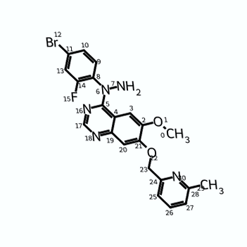 COc1cc2c(N(N)c3ccc(Br)cc3F)ncnc2cc1OCc1cccc(C)n1